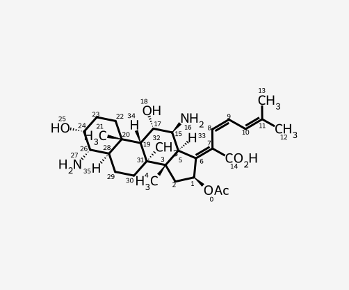 CC(=O)O[C@H]1C[C@@]2(C)[C@H](/C1=C(\C=C/C=C(C)C)C(=O)O)[C@H](N)[C@@H](O)[C@H]1[C@@]3(C)CC[C@@H](O)[C@@H](N)[C@@H]3CC[C@@]12C